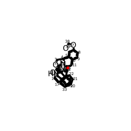 O=C1OCC2=c3c4c(ccc3=C(SCC13NC=Cc1ccccc13)C1=C3NC(=CN12)Cc1ccccc13)OCO4